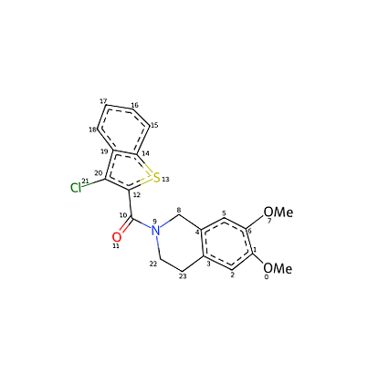 COc1cc2c(cc1OC)CN(C(=O)c1sc3ccccc3c1Cl)CC2